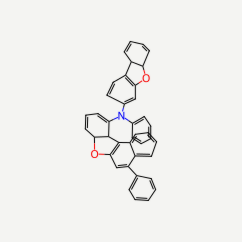 C1=CC2Oc3cc(N(C4=CC=CC5Oc6cc(-c7ccccc7)c7ccccc7c6C45)c4ccccc4)ccc3C2C=C1